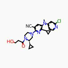 CN(c1ccnc(Cl)c1)c1cc(C#N)c(N2CCN(C(=O)CCO)[C@H](C3CC3)C2)nc1C1CC1